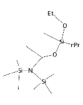 CCC[Si](C)(OCC)OC(C)N([Si](C)(C)C)[Si](C)(C)C